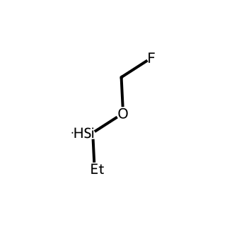 CC[SiH]OCF